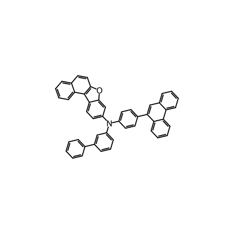 c1ccc(-c2cccc(N(c3ccc(-c4cc5ccccc5c5ccccc45)cc3)c3ccc4c(c3)oc3ccc5ccccc5c34)c2)cc1